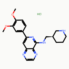 COc1ccc(-c2cc3nccnc3c(NC[C@@H]3CCCNC3)n2)cc1OC.Cl